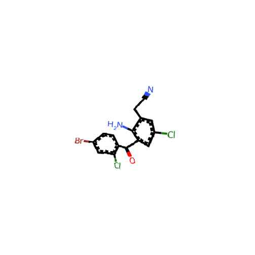 N#CCc1cc(Cl)cc(C(=O)c2ccc(Br)cc2Cl)c1N